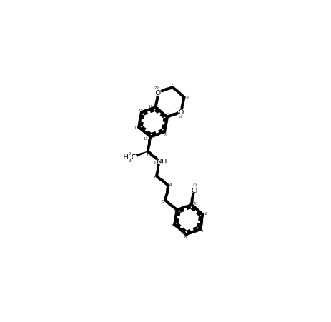 C[C@H](NCCCc1ccccc1Cl)c1ccc2c(c1)OCCO2